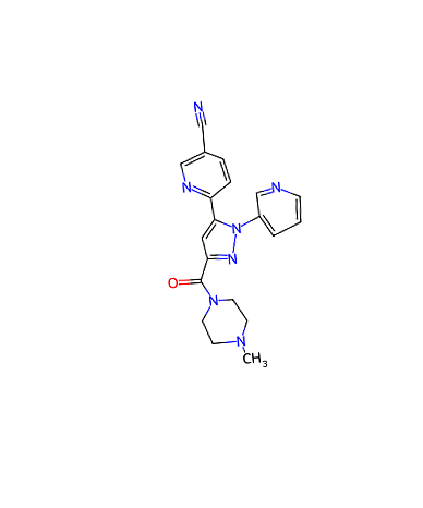 CN1CCN(C(=O)c2cc(-c3ccc(C#N)cn3)n(-c3cccnc3)n2)CC1